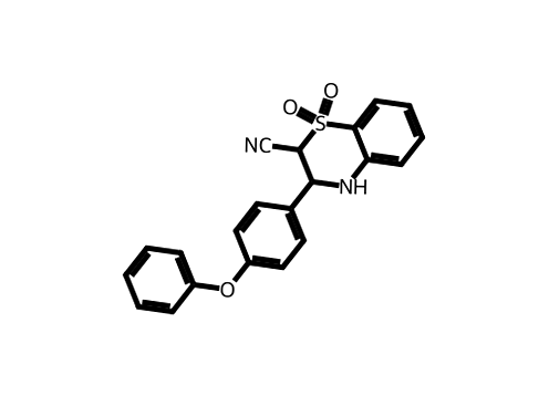 N#CC1C(c2ccc(Oc3ccccc3)cc2)Nc2ccccc2S1(=O)=O